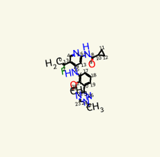 C=C(F)c1cnc(NC(=O)C2CC2)cc1Nc1cccc(-c2ncn(C)n2)c1OC